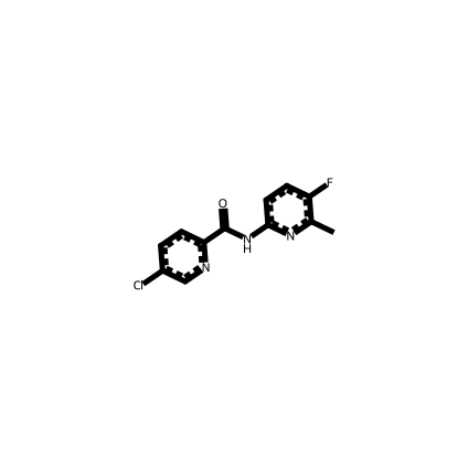 Cc1nc(NC(=O)c2ccc(Cl)cn2)ccc1F